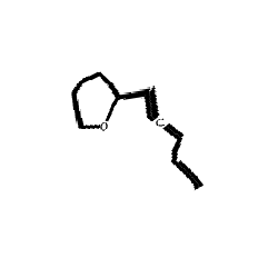 C=CC=C=CC1CCCO1